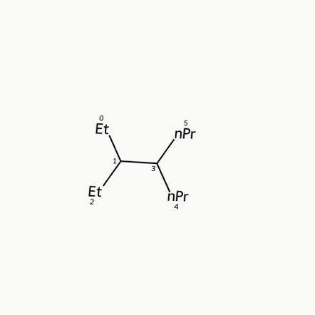 [CH2]CC(CC)C(CCC)CCC